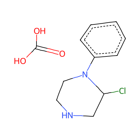 ClC1CNCCN1c1ccccc1.O=C(O)O